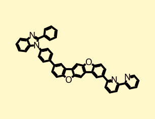 c1ccc(-c2nc3ccccc3n2-c2ccc(-c3ccc4oc5cc6c(cc5c4c3)oc3ccc(-c4cccc(-c5ccccn5)n4)cc36)cc2)cc1